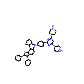 C1=CC(c2cc(C3=CCNC=C3)nc(-c3ccc(-n4c5ccccc5c5c6sc(-c7ccccc7)c(-c7ccccc7)c6ccc54)cc3)n2)=CCN1